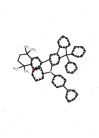 CC1(C)CCC(C)(C)c2cc(-c3cc4c(cc3N(c3ccccc3)c3ccc(-c5ccccc5)cc3)C(c3ccccc3)(c3ccccc3)c3ccccc3-4)ccc21